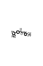 Cn1ncc2c(-c3ccc(NC(=O)Nc4cccc(OC(F)(F)F)c4)cc3)cncc21